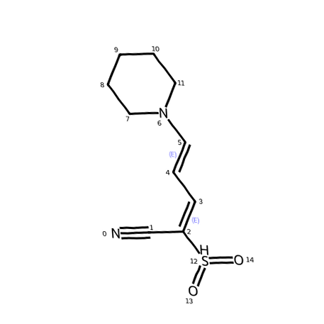 N#C/C(=C\C=C\N1CCCCC1)[SH](=O)=O